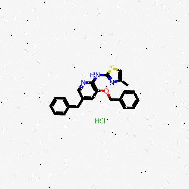 Cc1csc(Nc2ncc(Cc3ccccc3)cc2OCc2ccccc2)n1.Cl